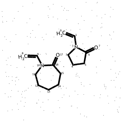 C=CN1CCCC1=O.C=CN1CCCCCC1=O